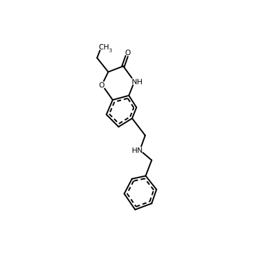 CCC1Oc2ccc(CNCc3ccccc3)cc2NC1=O